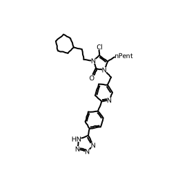 CCCCCc1c(Cl)n(CCC2CCCCC2)c(=O)n1Cc1ccc(-c2ccc(-c3nnn[nH]3)cc2)nc1